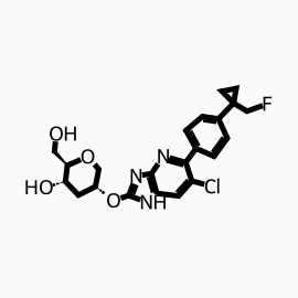 OC[C@H]1OC[C@H](Oc2nc3nc(-c4ccc(C5(CF)CC5)cc4)c(Cl)cc3[nH]2)C[C@@H]1O